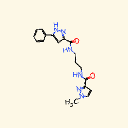 Cn1ccc(C(=O)NCCCNC(=O)c2cc(-c3ccccc3)[nH]n2)n1